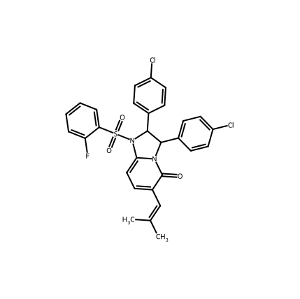 CC(C)=Cc1ccc2n(c1=O)C(c1ccc(Cl)cc1)C(c1ccc(Cl)cc1)N2S(=O)(=O)c1ccccc1F